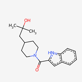 CC(C)(O)CC1CCN(C(=O)c2cc3ccccc3[nH]2)CC1